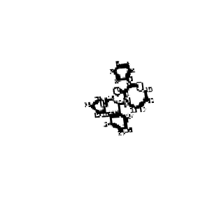 O=C1[C@@H](c2ccccc2)OC/C=C\CN1[C@H](CN1CCCC1)c1ccccc1